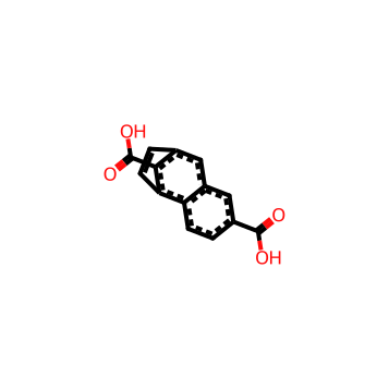 O=C(O)c1ccc2c3c(C(=O)O)c(cc2c1)C=C3